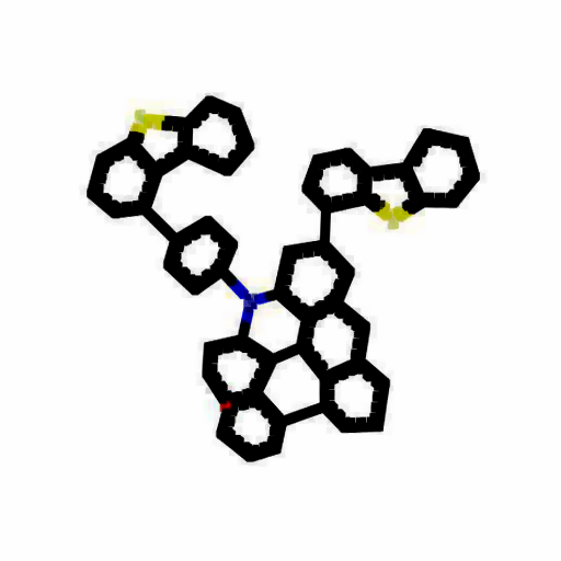 c1ccc(-c2cccc3cccc(-c4ccccc4N(c4ccc(-c5cccc6sc7ccccc7c56)cc4)c4cccc(-c5cccc6c5sc5ccccc56)c4)c23)cc1